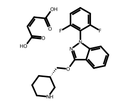 Fc1cccc(F)c1-n1nc(OC[C@H]2CCCNC2)c2ccccc21.O=C(O)/C=C\C(=O)O